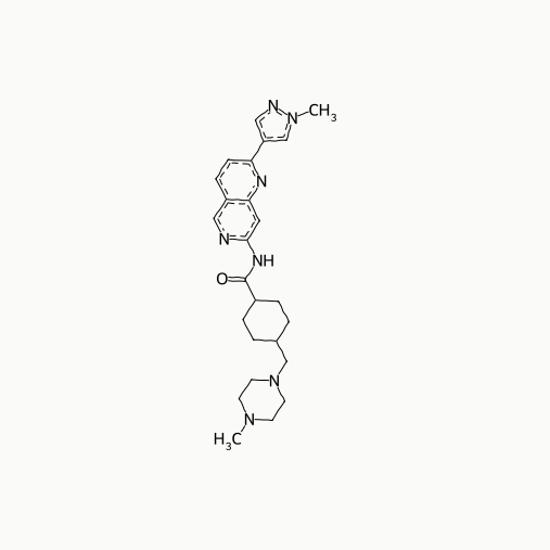 CN1CCN(CC2CCC(C(=O)Nc3cc4nc(-c5cnn(C)c5)ccc4cn3)CC2)CC1